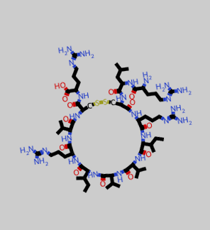 CCC(C)C1NC(=O)C(CCCN=C(N)N)NC(=O)C(NC(=O)C(CC(C)C)NC(=O)C(N)CCCN=C(N)N)CSSCC(C(=O)NC(CCCN=C(N)N)C(=O)O)NC(=O)C(C(C)C)NC(=O)C(CCCN=C(N)N)NC(=O)C(C(C)CC)NC(=O)C(C(C)C)NC(=O)C(C(C)C)NC1=O